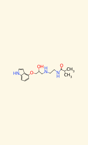 CC(C)C(=O)NCCNCC(O)COc1cccc2[nH]ccc12